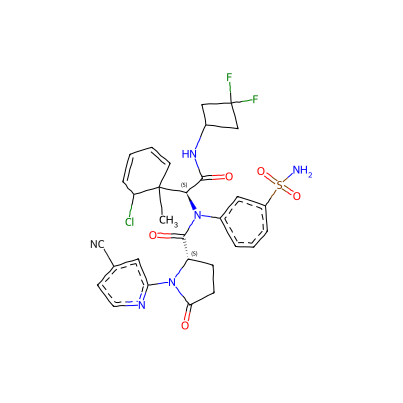 CC1([C@@H](C(=O)NC2CC(F)(F)C2)N(C(=O)[C@@H]2CCC(=O)N2c2cc(C#N)ccn2)c2cccc(S(N)(=O)=O)c2)C=CC=CC1Cl